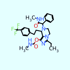 CCc1nc(OC(=O)NC)c2n1CCN(C(C(=O)NC)c1ccccc1)C2CCc1ccc(C(F)(F)F)cc1